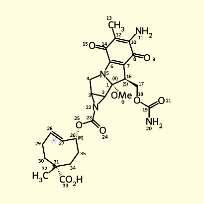 CO[C@]12C3C(CN1C1=C(C(=O)C(N)=C(C)C1=O)[C@H]2COC(N)=O)N3C(=O)O[C@H]1/C=C/CC[C@@](C)(C(=O)O)CC1